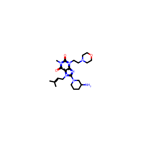 CC(C)=CCn1c(N2CCCC(N)C2)nc2c1c(=O)n(C)c(=O)n2CCN1CCOCC1